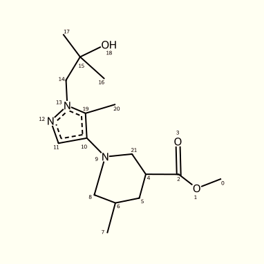 COC(=O)C1CC(C)CN(c2cnn(CC(C)(C)O)c2C)C1